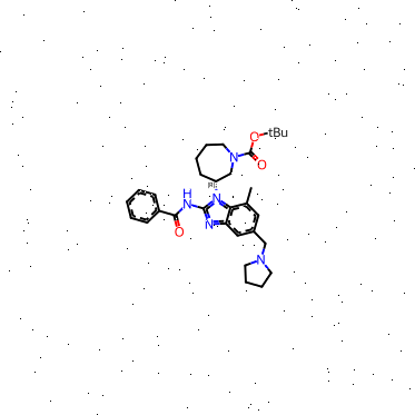 Cc1cc(CN2CCCC2)cc2nc(NC(=O)c3ccccc3)n([C@@H]3CCCCN(C(=O)OC(C)(C)C)C3)c12